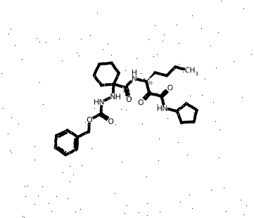 CCCC[C@H](NC(=O)C1(NNC(=O)OCc2ccccc2)CCCCC1)C(=O)C(=O)NC1CCCC1